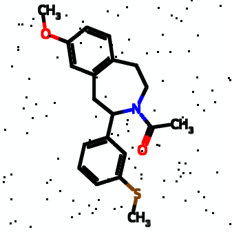 COc1ccc2c(c1)CC(c1cccc(SC)c1)N(C(C)=O)CC2